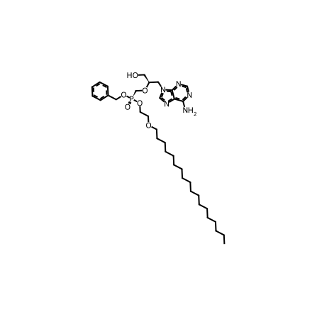 CCCCCCCCCCCCCCCCCCOCCO[P@@](=O)(CO[C@@H](CO)Cn1cnc2c(N)ncnc21)OCc1ccccc1